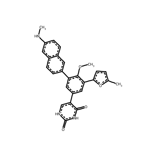 CNc1ccc2cc(-c3cc(-c4c[nH]c(=O)[nH]c4=O)cc(-c4ccc(C)o4)c3OC)ccc2c1